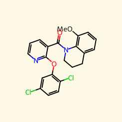 COc1cccc2c1N(C(=O)c1cccnc1Oc1cc(Cl)ccc1Cl)CCC2